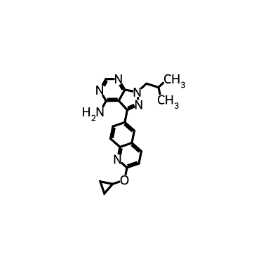 CC(C)Cn1nc(-c2ccc3nc(OC4CC4)ccc3c2)c2c(N)ncnc21